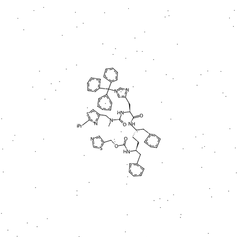 CC(C)c1nc(CN(C)C(=O)N[C@@H](Cc2cn(C(c3ccccc3)(c3ccccc3)c3ccccc3)cn2)C(=O)N[C@@H](CC[C@@H](Cc2ccccc2)NC(=O)OCc2cncs2)Cc2ccccc2)cs1